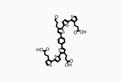 O=CCCc1cc(-c2ccc(-c3cc(CCC(=O)O)c(-c4ccc(-c5sccc5CCC(=O)O)s4)s3)cc2)sc1-c1ccc(-c2sccc2CCC(=O)O)s1